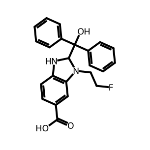 O=C(O)c1ccc2c(c1)N(CCF)C(C(O)(c1ccccc1)c1ccccc1)N2